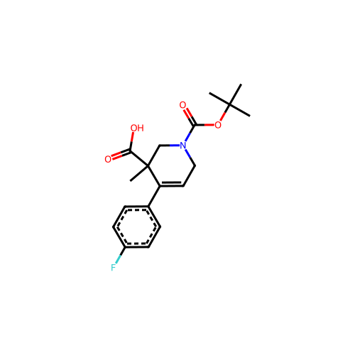 CC(C)(C)OC(=O)N1CC=C(c2ccc(F)cc2)C(C)(C(=O)O)C1